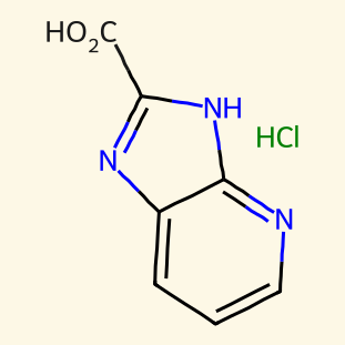 Cl.O=C(O)c1nc2cccnc2[nH]1